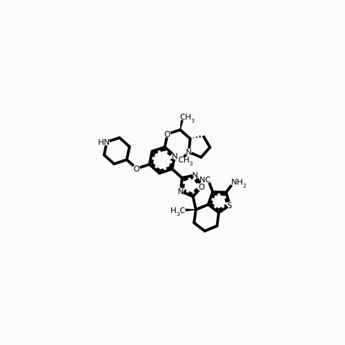 C[C@H](Oc1cc(OC2CCNCC2)cc(-c2noc([C@@]3(C)CCCc4sc(N)c(C#N)c43)n2)n1)[C@@H]1CCCN1C